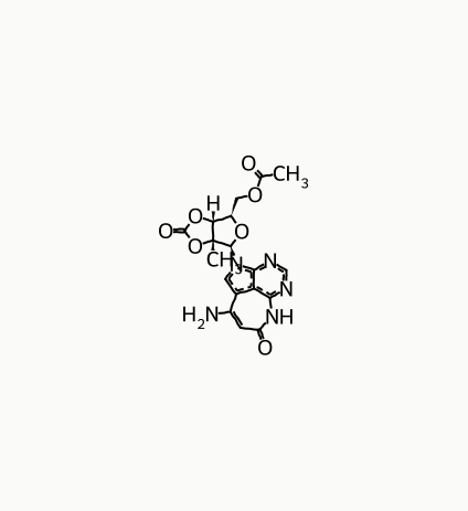 CC(=O)OC[C@H]1O[C@@H](n2cc3c4c(ncnc42)NC(=O)C=C3N)[C@]2(C)OC(=O)O[C@H]12